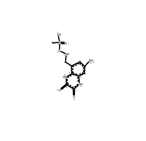 CP(=O)(O)ONCc1cc([N+](=O)[O-])cc2[nH]c(=O)c(=O)[nH]c12